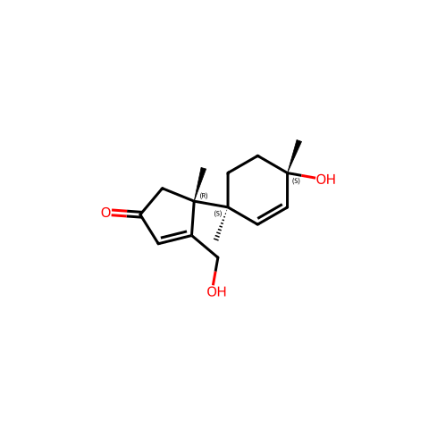 C[C@]1([C@]2(C)C=C[C@@](C)(O)CC2)CC(=O)C=C1CO